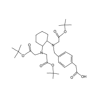 CC(C)(C)OC(=O)CN(CC(=O)OC(C)(C)C)C1CCCCC1N(CC(=O)OC(C)(C)C)Cc1ccc(CC(=O)O)cc1